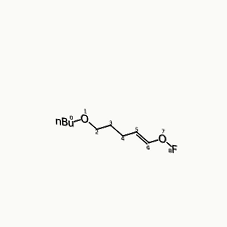 CCCCOCCCC=COF